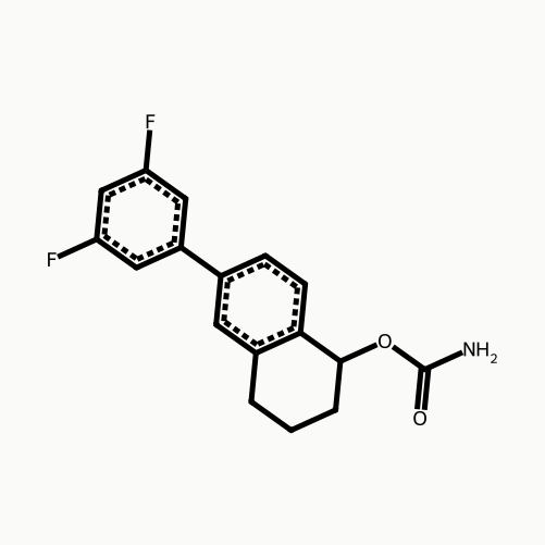 NC(=O)OC1CCCc2cc(-c3cc(F)cc(F)c3)ccc21